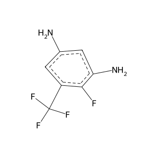 Nc1cc(N)c(F)c(C(F)(F)F)c1